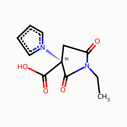 CCN1C(=O)C[C@@](C(=O)O)(n2cccc2)C1=O